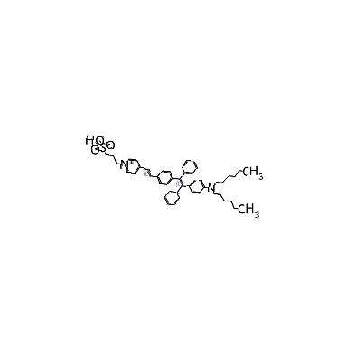 CCCCCCN(CCCCCC)c1ccc(/C(=C(\c2ccccc2)c2ccc(/C=C/c3cc[n+](CCCS(=O)(=O)O)cc3)cc2)c2ccccc2)cc1